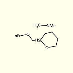 CCCOC[SiH]1CCCCO1.CNC